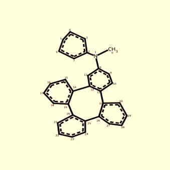 CN(c1ccccc1)c1ccc2c(c1)-c1ccccc1-c1ccccc1-c1ccccc1-2